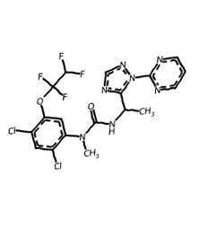 CC(NC(=O)N(C)c1cc(OC(F)(F)C(F)F)c(Cl)cc1Cl)c1ncnn1-c1ncccn1